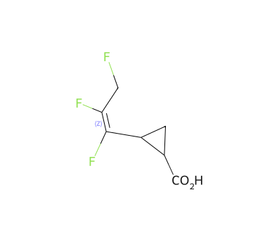 O=C(O)C1CC1/C(F)=C(/F)CF